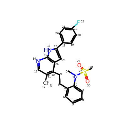 CN(c1ccccc1CCc1c(C(F)(F)F)cnc2[nH]c(-c3ccc(F)cc3)cc12)S(C)(=O)=O